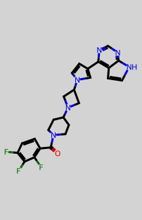 O=C(c1ccc(F)c(F)c1F)N1CCC(N2CC(n3ccc(-c4ncnc5[nH]ccc45)c3)C2)CC1